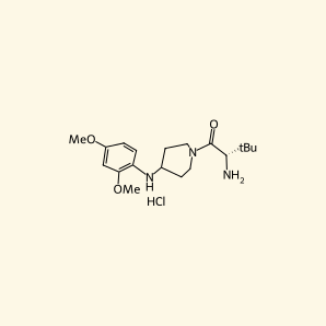 COc1ccc(NC2CCN(C(=O)[C@@H](N)C(C)(C)C)CC2)c(OC)c1.Cl